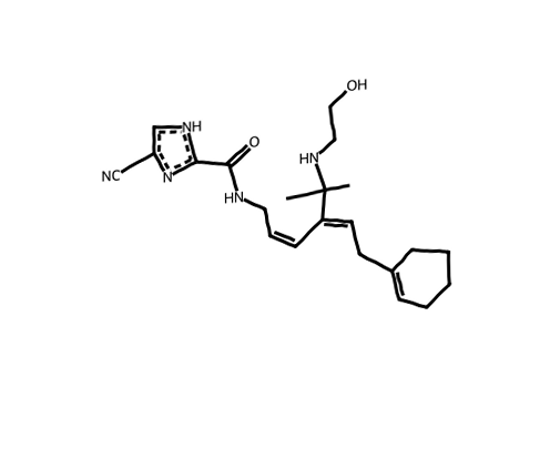 CC(C)(NCCO)C(/C=C\CNC(=O)c1nc(C#N)c[nH]1)=C/CC1=CCCCC1